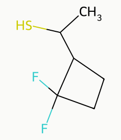 CC(S)C1CCC1(F)F